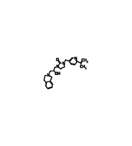 C=C(C)c1ccc(CN2CCN(CC(O)CN3CCc4ccccc4C3)C2=O)cn1